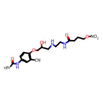 CCCC(=O)Nc1ccc(OCC(O)CNCCNC(=O)CCCO[N+](=O)[O-])c(C#N)c1